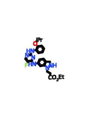 CCOC(=O)CCN1NCc2ccc(Nc3nc(Nc4ccccc4OC(C)C)ncc3F)cc21